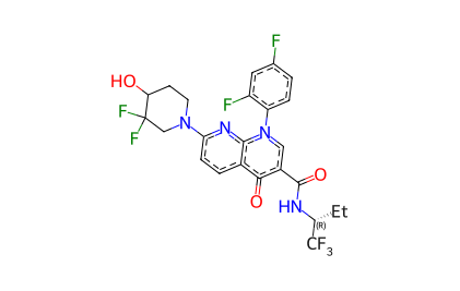 CC[C@@H](NC(=O)c1cn(-c2ccc(F)cc2F)c2nc(N3CCC(O)C(F)(F)C3)ccc2c1=O)C(F)(F)F